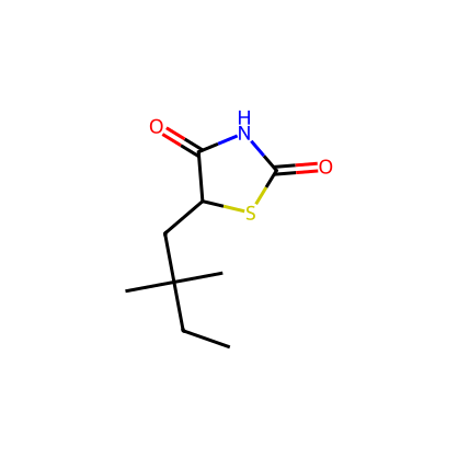 CCC(C)(C)CC1SC(=O)NC1=O